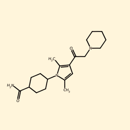 Cc1cc(C(=O)CN2CCCCC2)c(C)n1C1CCC(C(N)=O)CC1